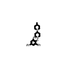 CC1CCN(C2CCN(Sc3c(C(C)C)cc(C(C)C)cc3C(C)C)CC2)CC1